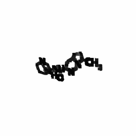 Cc1ccc2cc(C(=O)N[C@H]3CN4CCC3CC4)ncn12